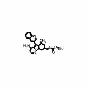 C=C1CC(/C=N/C(=O)OC(C)(C)C)Cc2c1c(-c1cnc3ccccc3c1)c1c(N)ncnn21